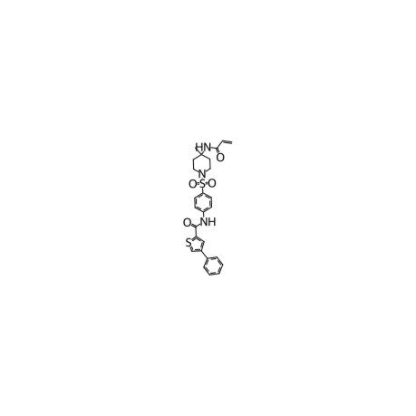 C=CC(=O)NC1(C)CCN(S(=O)(=O)c2ccc(NC(=O)c3cc(-c4ccccc4)cs3)cc2)CC1